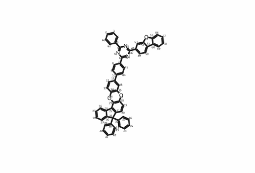 c1ccc(-c2nc(-c3ccc(-c4ccc5c(c4)Oc4ccc6c(c4O5)-c4ccccc4C6(c4ccccc4)c4ccccc4)cc3)nc(-c3ccc4c(c3)oc3ccccc34)n2)cc1